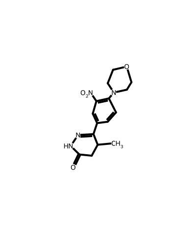 CC1CC(=O)NN=C1c1ccc(N2CCOCC2)c([N+](=O)[O-])c1